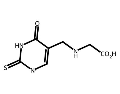 O=C(O)CNCC1=C[N]C(=S)NC1=O